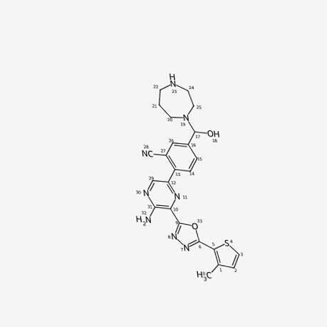 Cc1ccsc1-c1nnc(-c2nc(-c3ccc(C(O)N4CCCNCC4)cc3C#N)cnc2N)o1